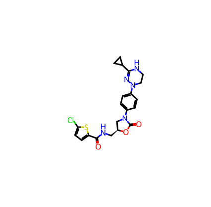 O=C(NC[C@H]1CN(c2ccc(N3CCNC(C4CC4)=N3)cc2)C(=O)O1)c1ccc(Cl)s1